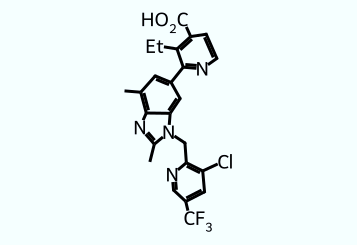 CCc1c(C(=O)O)ccnc1-c1cc(C)c2nc(C)n(Cc3ncc(C(F)(F)F)cc3Cl)c2c1